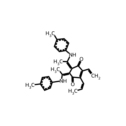 C=CC1=C(/C=C\C)C(=O)C(=C(/C)Nc2ccc(C)cc2)/C(=C(\C)Nc2ccc(C)cc2)C1=O